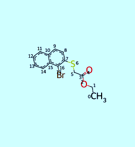 CCOC(=O)CSc1ccc2ccccc2c1Br